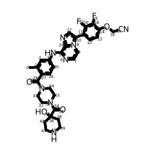 Cc1cc(Nc2nccn3c(-c4ccc(OCC#N)c(F)c4F)cnc23)ccc1C(=O)N1CCN(C(=O)C2(O)CCNCC2)CC1